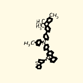 Cc1ccc(N(c2ccc(-c3ccc4c(c3)C(C)(C)c3cc(C)ccc3-4)cc2)c2ccc(-c3ccc4c5ccccc5n(-c5ccc6sc7ccccc7c6c5)c4c3)cc2)cc1